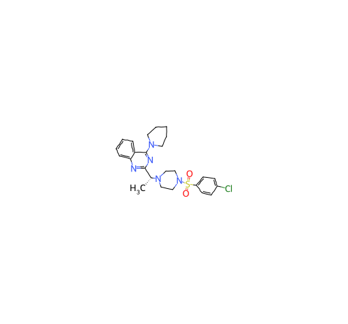 C[C@H](c1nc(N2CCCCC2)c2ccccc2n1)N1CCN(S(=O)(=O)c2ccc(Cl)cc2)CC1